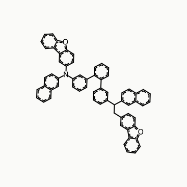 c1cc(-c2ccccc2-c2cccc(N(c3ccc4ccccc4c3)c3ccc4oc5ccccc5c4c3)c2)cc(C(Cc2ccc3oc4ccccc4c3c2)c2ccc3ccccc3c2)c1